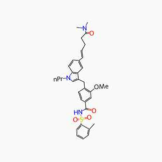 CCCn1cc(Cc2ccc(C(=O)NS(=O)(=O)c3ccccc3C)cc2OC)c2cc(/C=C/CCC(=O)N(C)C)ccc21